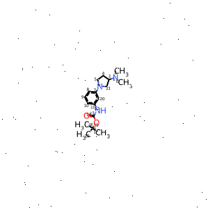 CN(C)C1CCN(c2cccc(NC(=O)OC(C)(C)C)c2)C1